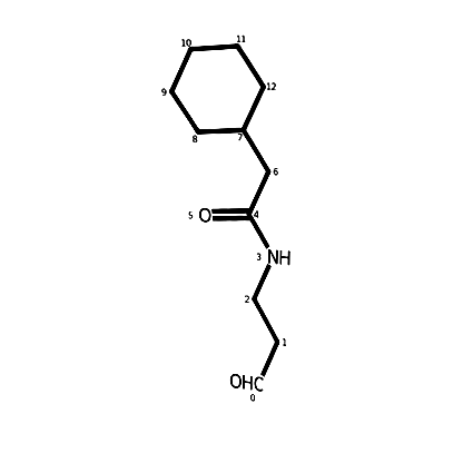 O=CCCNC(=O)CC1CCCCC1